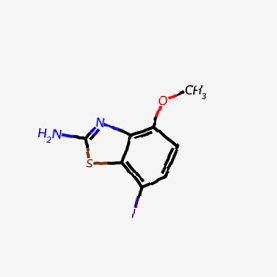 COc1ccc(I)c2sc(N)nc12